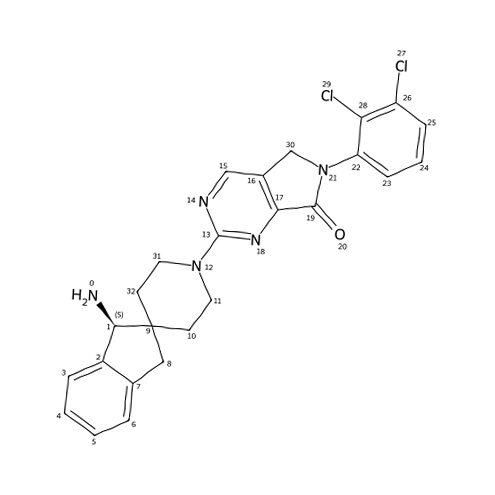 N[C@@H]1c2ccccc2CC12CCN(c1ncc3c(n1)C(=O)N(c1cccc(Cl)c1Cl)C3)CC2